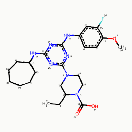 CCC1CN(c2nc(Nc3ccc(OC)c(F)c3)nc(NC3CCCCCC3)n2)CCN1C(=O)O